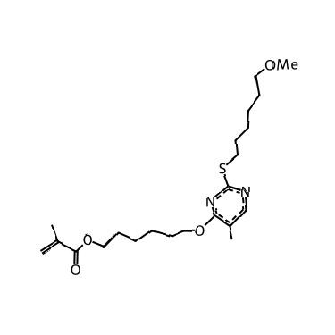 C=C(C)C(=O)OCCCCCCOc1nc(SCCCCCCOC)ncc1C